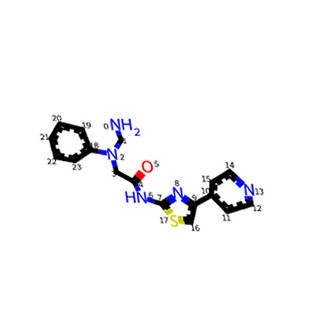 NCN(CC(=O)Nc1nc(-c2ccncc2)cs1)c1ccccc1